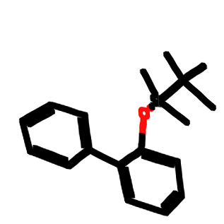 CC(C)(C)[Si](C)(C)Oc1ccccc1-c1ccccc1